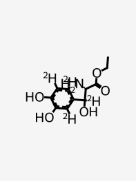 [2H]c1c([2H])c([C@@]([2H])(O)[C@H](N)C(=O)OCC)c([2H])c(O)c1O